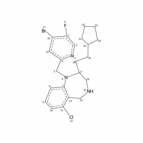 Fc1cnc(CN2c3cccc(Cl)c3CNCC2CCC2CCCC2)cc1Br